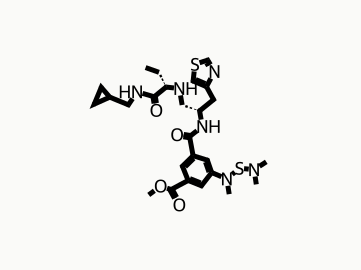 CC[C@H](NC[C@H](Cc1cscn1)NC(=O)c1cc(C(=O)OC)cc(N(C)SN(C)C)c1)C(=O)NCC1CC1